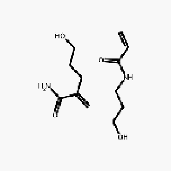 C=C(CCCO)C(N)=O.C=CC(=O)NCCCO